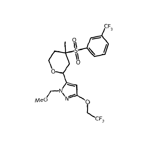 COCn1nc(OCC(F)(F)F)cc1C1CC(C)(S(=O)(=O)c2cccc(C(F)(F)F)c2)CCO1